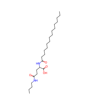 CCCCCCCCCCCCCCCC(=O)NC(CCC(=O)NCCCC)C(=O)O